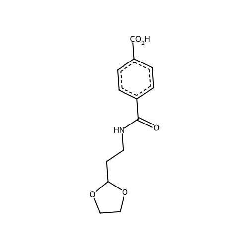 O=C(O)c1ccc(C(=O)NCCC2OCCO2)cc1